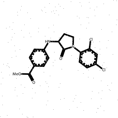 COC(=O)c1ccc(NC2CCN(c3ccc(Cl)cc3Cl)C2=O)cc1